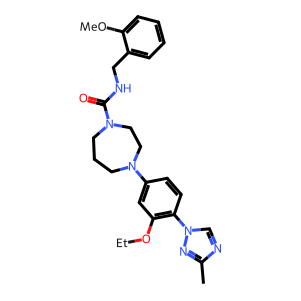 CCOc1cc(N2CCCN(C(=O)NCc3ccccc3OC)CC2)ccc1-n1cnc(C)n1